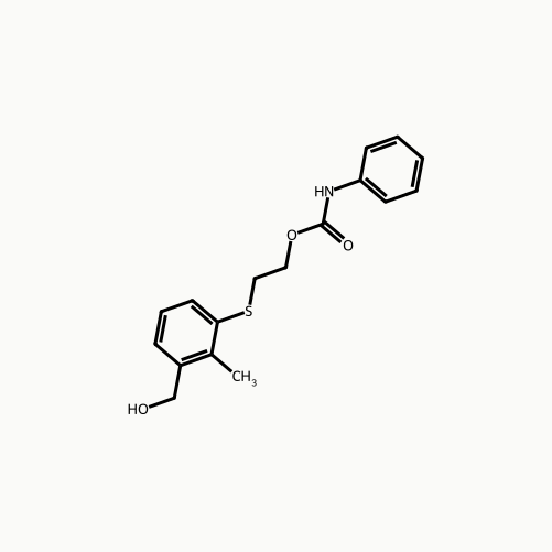 Cc1c(CO)cccc1SCCOC(=O)Nc1ccccc1